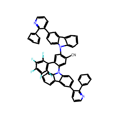 N#Cc1cc(-n2c3ccccc3c3cc(-c4cccnc4-c4ccccc4)ccc32)c(-c2c(F)c(F)c(F)c(F)c2F)cc1-n1c2ccccc2c2cc(-c3cccnc3-c3ccccc3)ccc21